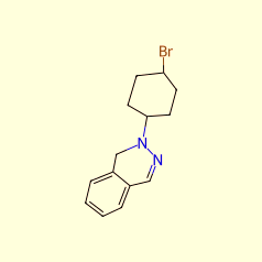 BrC1CCC(N2Cc3ccccc3C=N2)CC1